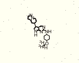 [2H]C([2H])([2H])O[C@H]1CC[C@@H](Nc2ncc3c(-c4ccn5nccc5c4)c[nH]c3n2)CC1